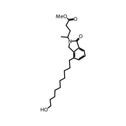 COC(=O)CCC(C)N1Cc2c(CCCCCCCCCCO)cccc2C1=O